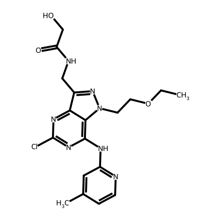 CCOCCn1nc(CNC(=O)CO)c2nc(Cl)nc(Nc3cc(C)ccn3)c21